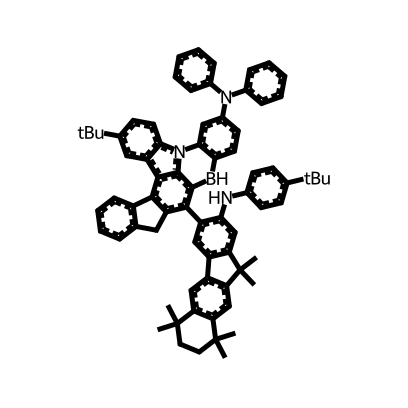 CC(C)(C)c1ccc(Nc2cc3c(cc2-c2c4c(c5c6cc(C(C)(C)C)ccc6n6c5c2Bc2ccc(N(c5ccccc5)c5ccccc5)cc2-6)-c2ccccc2C4)-c2cc4c(cc2C3(C)C)C(C)(C)CCC4(C)C)cc1